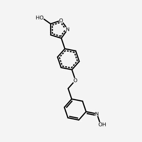 ON=C1C=CC=C(COc2ccc(-c3cc(O)on3)cc2)C1